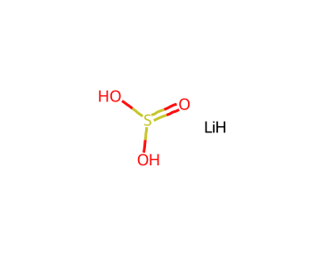 O=S(O)O.[LiH]